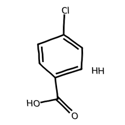 O=C(O)c1ccc(Cl)cc1.[HH]